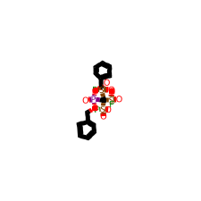 O=P(OCc1ccccc1)(OCc1ccccc1)C(S(=O)(=O)F)(S(=O)(=O)F)S(=O)(=O)F